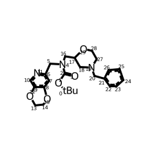 CC(C)(C)OC(=O)N(Cc1cc2c(cn1)OCCO2)CC1CN(Cc2ccccc2)CCO1